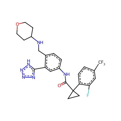 O=C(Nc1ccc(CNC2CCOCC2)c(-c2nnn[nH]2)c1)C1(c2ccc(C(F)(F)F)cc2F)CC1